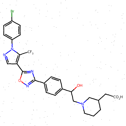 O=C(O)CC1CCCN(CC(O)c2ccc(-c3noc(-c4cnn(-c5ccc(Br)cc5)c4C(F)(F)F)n3)cc2)C1